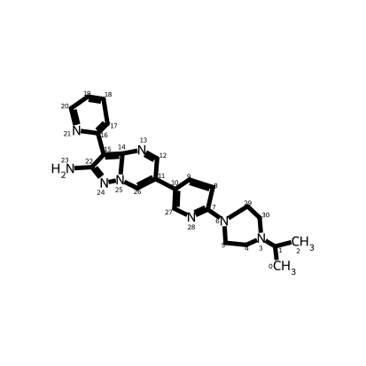 CC(C)N1CCN(c2ccc(-c3cnc4c(-c5ccccn5)c(N)nn4c3)cn2)CC1